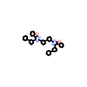 c1ccc(-c2cccc(-c3nc(-c4cccc(-c5cccc(-c6nc(-c7cccc(-c8ccccc8)c7)c7c(n6)oc6ccccc67)c5)c4)nc4oc5ccccc5c34)c2)cc1